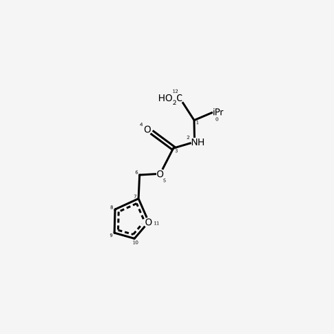 CC(C)C(NC(=O)OCc1ccco1)C(=O)O